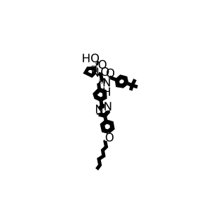 CCCCCCCOc1ccc(-c2cnc(-c3ccc(C[C@H](NC(=O)c4ccc(C(C)(C)C)cc4)C(=O)N4CCC[C@@H]4C(=O)O)cc3)nc2)cc1